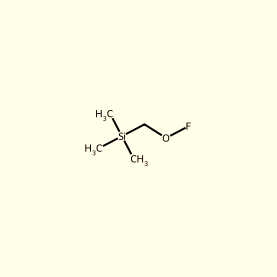 C[Si](C)(C)COF